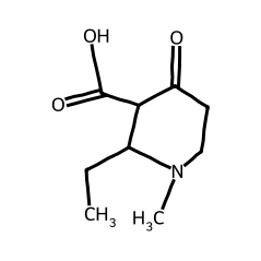 CCC1C(C(=O)O)C(=O)CCN1C